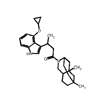 CC(CC(=O)N1CC2CCC3(C)CC1CC2(C)C3)c1c[nH]c2cccc(OC3CC3)c12